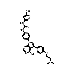 CN(C)CCOc1ccc(-c2nn(-c3ccc(NC(=O)Nc4cc(C(C)(C)C)on4)cc3)c3ncnc(N)c23)cc1